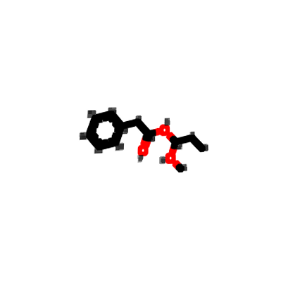 CCC(OC)OC(=O)Cc1ccccc1